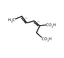 C/C=C/C=C(\CC(=O)O)C(=O)O